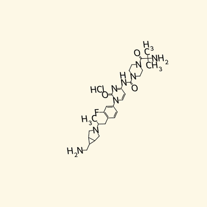 CC(Cc1ccc(-n2ccc(NC(=O)N3CCN(C(=O)C(C)(C)N)CC3)nc2=O)cc1F)N1CC2C(CN)C2C1.Cl